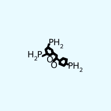 O=c1oc2c(CP)cc(CP)cc2cc1-c1ccc(P)cc1